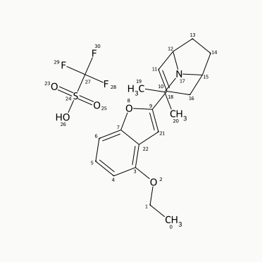 CCOc1cccc2oc(C3=CC4CCC(C3)N4C(C)C)cc12.O=S(=O)(O)C(F)(F)F